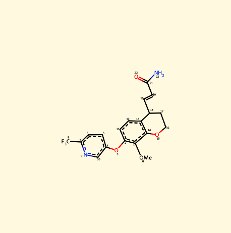 COc1c(Oc2ccc(C(F)(F)F)nc2)ccc2c1OCCC2C=CC(N)=O